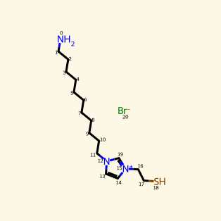 NCCCCCCCCCCCn1cc[n+](CCS)c1.[Br-]